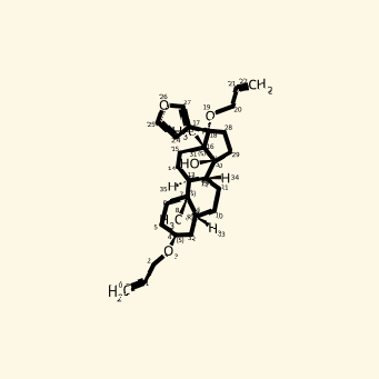 C=CCO[C@H]1CC[C@@]2(C)[C@H](CC[C@@H]3[C@@H]2CC[C@]2(C)[C@@](OCC=C)(c4ccoc4)CC[C@]32O)C1